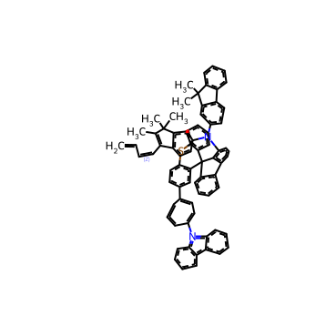 C=C/C=C\C1=C(C)C(C)(C)c2cc(N(c3ccc4c(c3)C(C)(C)c3ccccc3-4)c3cccc4c3C3(c5ccccc5Sc5ccc(C6=CC=C(n7c8ccccc8c8ccccc87)C=C=C6)cc53)c3ccccc3-4)ccc21